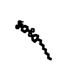 CCCCCCCCCC1CCC(OC(=O)C2CCC([N+](=O)[O-])CC2)CC1